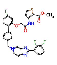 COC(=O)c1sccc1NC(=O)COc1cc(F)ccc1-c1ccc(Cn2ccc3nc(-c4cccc(F)c4F)nc-3c2)cc1